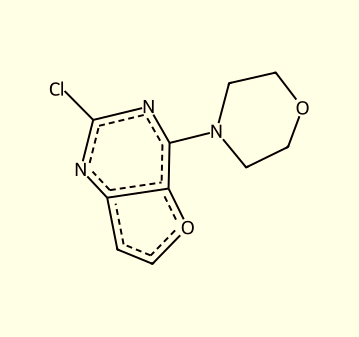 Clc1nc(N2CCOCC2)c2occc2n1